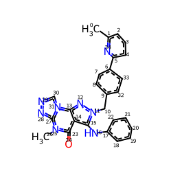 Cc1cccc(-c2ccc(Cn3nc4c(c3Nc3ccccc3)c(=O)n(C)c3nncn43)cc2)n1